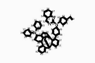 C=Cc1ccc(N(c2ccc(-c3cccc4c5cc6c(ccc7c(N(c8ccccc8)c8ccccc8)ccc(c8ccccc58)c76)c34)cc2)c2ncc3ccccc3n2)cc1